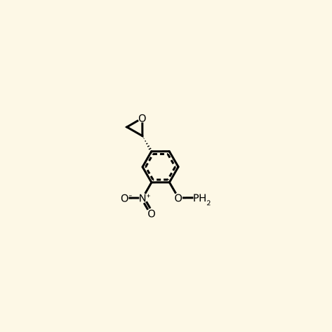 O=[N+]([O-])c1cc([C@@H]2CO2)ccc1OP